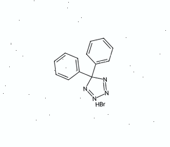 Br.c1ccc(C2(c3ccccc3)N=NN=N2)cc1